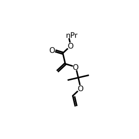 C=COC(C)(C)OC(=C)C(=O)OCCC